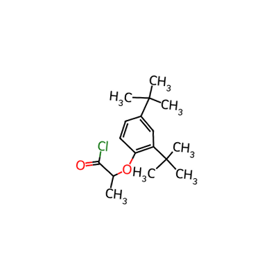 CC(Oc1ccc(C(C)(C)C)cc1C(C)(C)C)C(=O)Cl